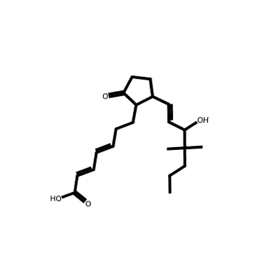 CCCC(C)(C)C(O)/C=C/C1CCC(=O)C1CCC=C/C=C/C(=O)O